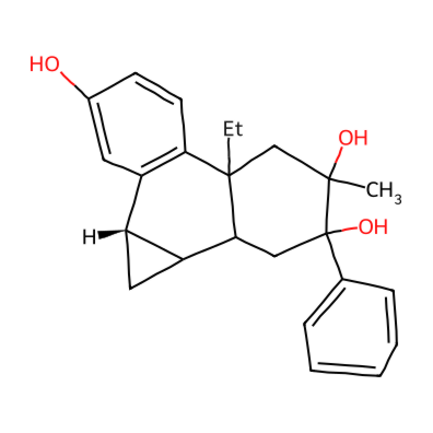 CCC12CC(C)(O)C(O)(c3ccccc3)CC1C1C[C@@H]1c1cc(O)ccc12